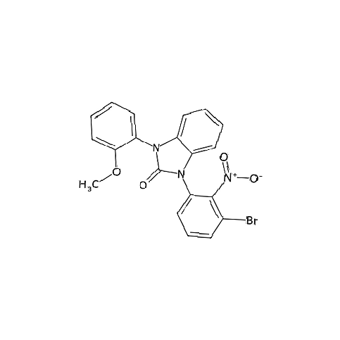 COc1ccccc1-n1c(=O)n(-c2cccc(Br)c2[N+](=O)[O-])c2ccccc21